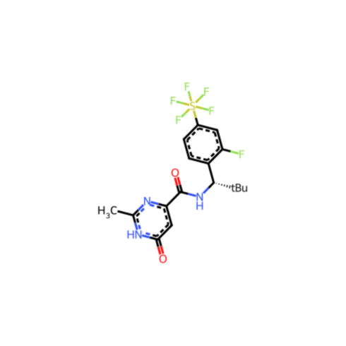 Cc1nc(C(=O)N[C@H](c2ccc(S(F)(F)(F)(F)F)cc2F)C(C)(C)C)cc(=O)[nH]1